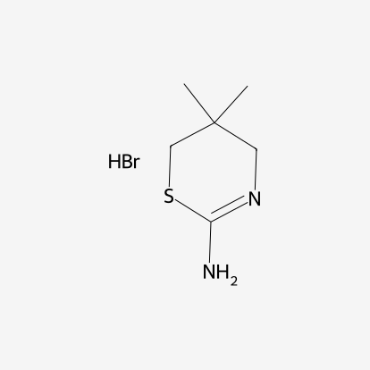 Br.CC1(C)CN=C(N)SC1